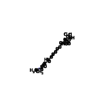 CN(C)C/C=C/C(=O)N1CCN(c2ccc(CCC(=O)NCCOCCOCCOCCOCCOCCC(=O)NCCn3ccc(-c4cc(Cl)c(Cl)c5[nH]c6c(c45)CN(C(=O)CO)CC6)n3)s2)C(=O)C1